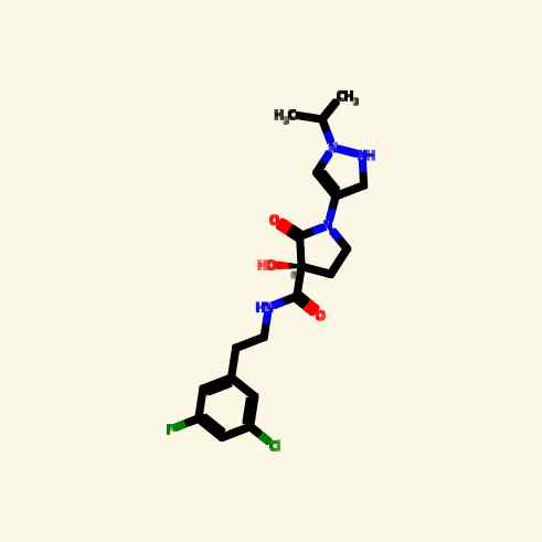 CC(C)N1C=C(N2CC[C@](O)(C(=O)NCCc3cc(F)cc(Cl)c3)C2=O)CN1